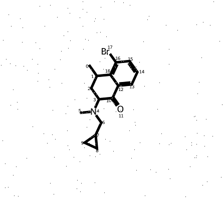 CC1CC(N(C)CC2CC2)C(=O)c2cccc(Br)c21